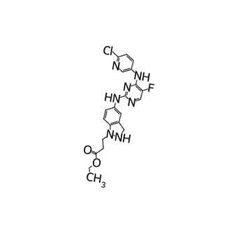 CCOC(=O)CCN1NCc2cc(Nc3ncc(F)c(Nc4ccc(Cl)nc4)n3)ccc21